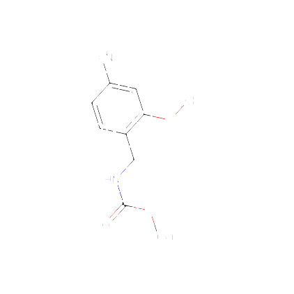 CC(C)(C)OC(=O)NCc1ccc(C#N)cc1OC(F)(F)F